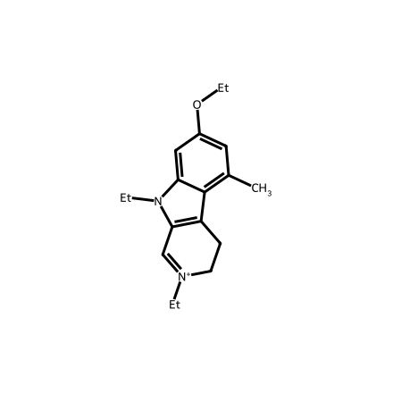 CCOc1cc(C)c2c3c(n(CC)c2c1)C=[N+](CC)CC3